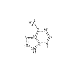 Cc1ncnc2[nH]ncc12